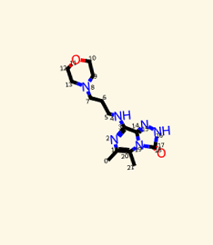 Cc1nc(NCCCN2CCOCC2)c2n[nH]c(=O)n2c1C